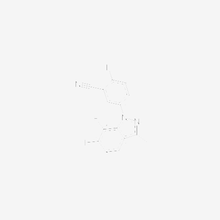 Cc1nn(-c2ccc(F)c(C#N)c2)c2c(F)c(I)ccc12